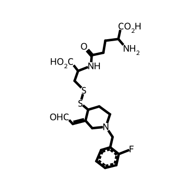 NC(CCC(=O)NC(CSSC1CCN(Cc2ccccc2F)C/C1=C/C=O)C(=O)O)C(=O)O